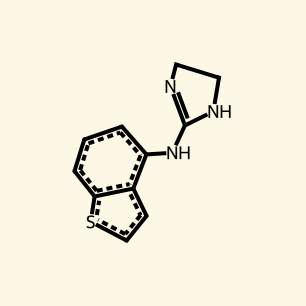 c1cc(NC2=NCCN2)c2ccsc2c1